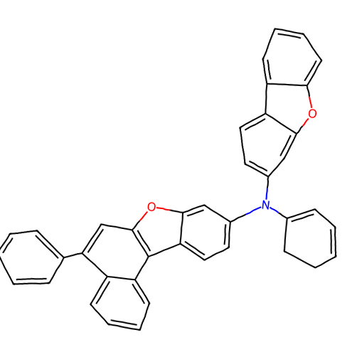 C1=CCCC(N(c2ccc3c(c2)oc2ccccc23)c2ccc3c(c2)oc2cc(-c4ccccc4)c4ccccc4c23)=C1